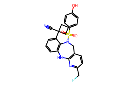 N#CC1(c2cccc3c2N(S(=O)(=O)c2ccc(O)cc2)Cc2ccc(CF)nc2N3)CCC1